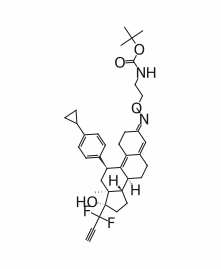 C#CC(F)(F)[C@]1(O)CC[C@H]2[C@@H]3CCC4=C/C(=N/OCCNC(=O)OC(C)(C)C)CCC4=C3[C@H](c3ccc(C4CC4)cc3)C[C@@]21C